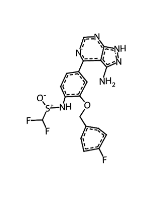 Nc1n[nH]c2ncnc(-c3ccc(N[S+]([O-])C(F)F)c(OCc4ccc(F)cc4)c3)c12